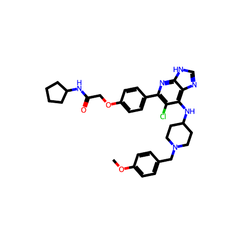 COc1ccc(CN2CCC(Nc3c(Cl)c(-c4ccc(OCC(=O)NC5CCCC5)cc4)nc4[nH]cnc34)CC2)cc1